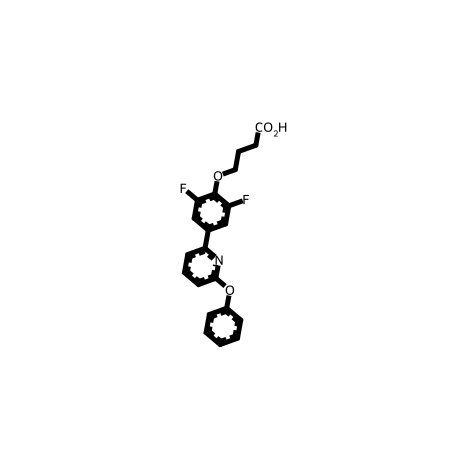 O=C(O)CCCOc1c(F)cc(-c2cccc(Oc3ccccc3)n2)cc1F